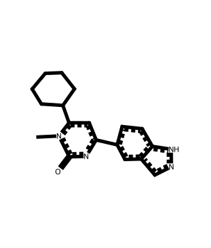 Cn1c(C2CCCCC2)cc(-c2ccc3[nH]ncc3c2)nc1=O